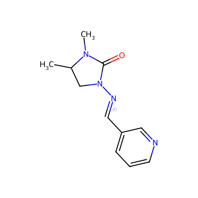 CC1CN(/N=C/c2cccnc2)C(=O)N1C